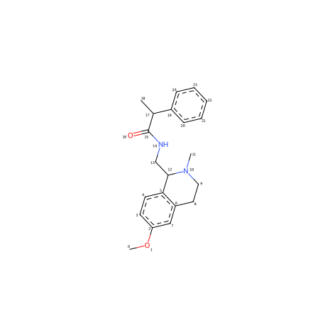 COc1ccc2c(c1)CCN(C)C2CNC(=O)C(C)c1ccccc1